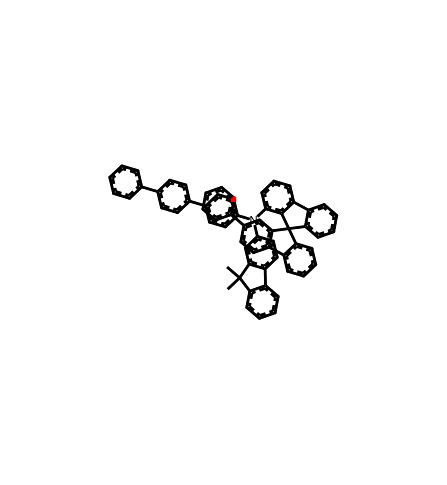 CC1(C)c2ccccc2-c2ccc(N(c3ccc(-c4ccc(-c5ccccc5)cc4)cc3)c3cccc4c3C3(c5ccccc5-c5ccc(-c6ccccc6)cc53)c3ccccc3-4)cc21